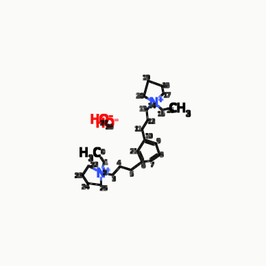 CC[N+]1(CCCc2cccc(CCC[N+]3(CC)CCCC3)c2)CCCC1.[OH-].[OH-]